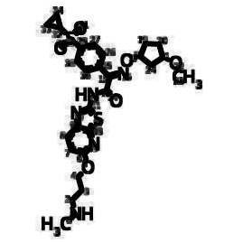 CNCCCOc1ccc2nc(NC(=O)/C(=N/O[C@@H]3CC[C@@H](OC)C3)c3ccc(S(=O)(=O)C4CC4)cc3)sc2n1